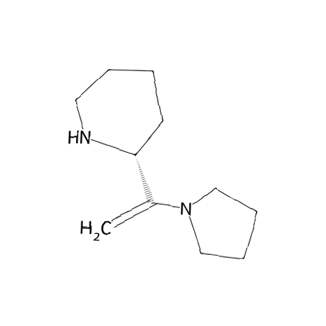 C=C([C@H]1CCCCN1)N1CCCC1